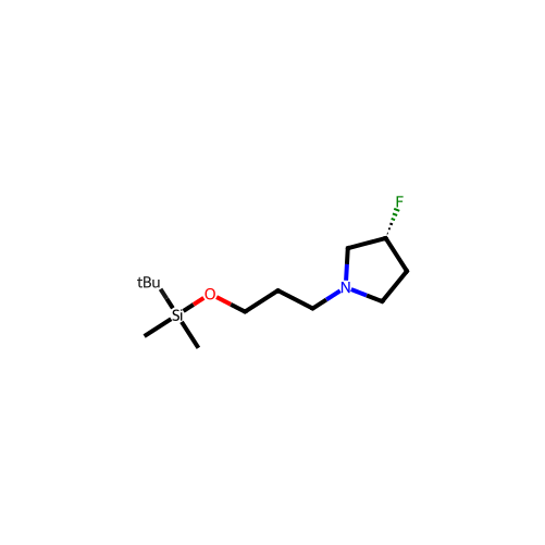 CC(C)(C)[Si](C)(C)OCCCN1CC[C@@H](F)C1